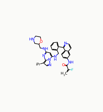 C=C(F)C(=O)Nc1ccc2c(-c3ccccc3CNc3cc(NCC4CNCCO4)nc4c(C(C)C)cnn34)nccc2c1